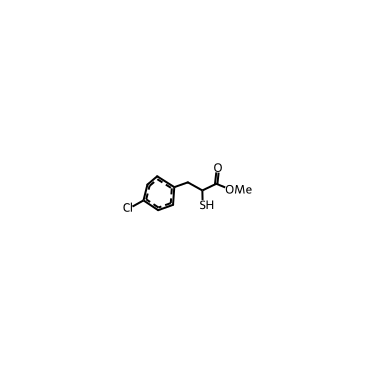 COC(=O)C(S)Cc1ccc(Cl)cc1